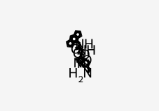 NCC1COC2C(S(=O)(=O)NC(=O)Nc3c4c(cc5c3CCC5)CCC4)C=NN2C1